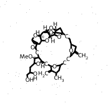 C=C1CC2CCC34C[C@H]5O[C@H]6C(O3)[C@H]3OC(CCC3O[C@H]6C5O4)CC(=O)CC3[C@@H](OC)C(CC(O)CO)O[C@H]3CC3OC(CCC1O2)CC(C)C3=C